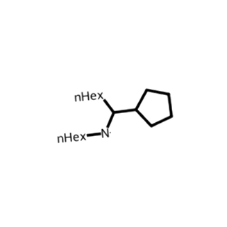 CCCCCC[N]C(CCCCCC)C1CCCC1